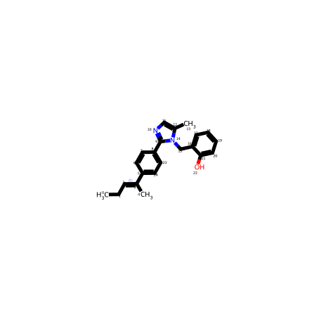 CC/C=C(\C)c1ccc(-c2ncc(C)n2Cc2ccccc2O)cc1